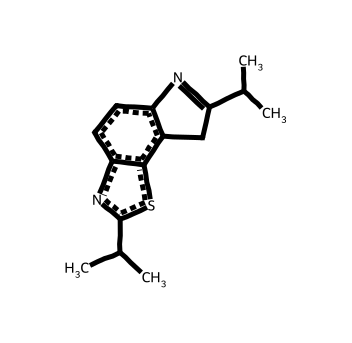 CC(C)C1=Nc2ccc3nc(C(C)C)sc3c2C1